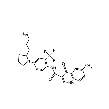 CCCCC1CCCN1c1ccc(NC(=O)c2c[nH]c3ccc(C)cc3c2=O)c(C(F)(F)F)c1